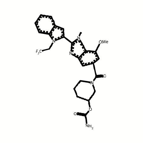 COc1cc(C(=O)N2CCCC(OC(N)=O)C2)cc2nc(-c3cc4ccccc4n3CC(F)(F)F)n(C)c12